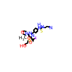 C[C@H]1COCCN1c1cc(C2(S(=O)(=O)CCCO)CC2I)nc(-c2ccc(NC(=S)NCCC#N)cc2)n1